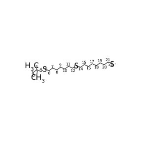 CCC(C)CSCCCCCCCSCCCCCCCC[S]